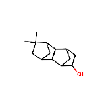 CC1(C)CC2CC1C1C3CC(O)C(C3)C21